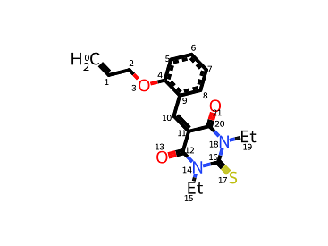 C=CCOc1ccccc1C=C1C(=O)N(CC)C(=S)N(CC)C1=O